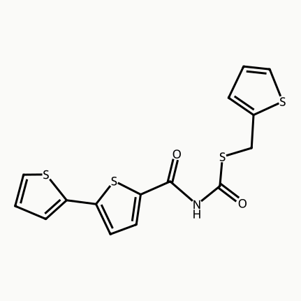 O=C(NC(=O)c1ccc(-c2cccs2)s1)SCc1cccs1